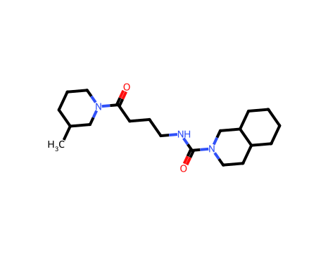 CC1CCCN(C(=O)CCCNC(=O)N2CCC3CCCCC3C2)C1